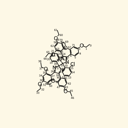 CCOc1ccc(C2=NC(c3ccccc3Cl)(C3(c4ccccc4Cl)N=C(c4ccc(OCC)cc4OCC)C(c4ccc(OCC)cc4OCC)=N3)N=C2c2ccc(OCC)cc2OCC)c(OCC)c1